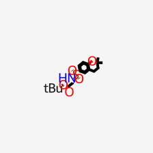 CC(C)(C)OC(=O)CNS(=O)(=O)c1ccc2c(c1)CCC(C)(C)O2